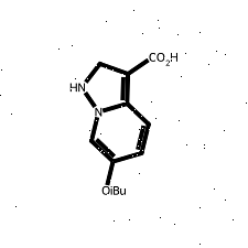 CC(C)COC1=CN2NCC(C(=O)O)=C2C=C1